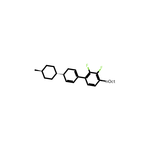 CCCCCCCCc1ccc(C2=CCC([C@H]3CC[C@H](C)CC3)C=C2)c(F)c1F